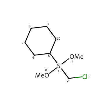 CO[Si](CCl)(OC)C1CCCCC1